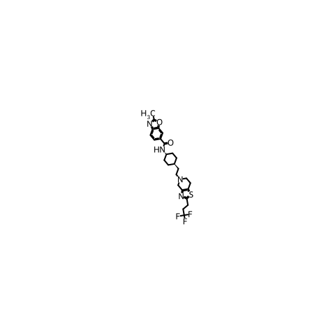 Cc1nc2ccc(C(=O)N[C@H]3CC[C@H](CCN4CCc5sc(CCC(F)(F)F)nc5C4)CC3)cc2o1